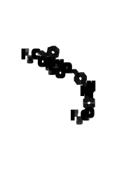 O=C(/N=C1\SCC(=O)N1c1ccccc1/C=C/C(F)(F)F)OCCc1ccc(-c2ncn(-c3ccc(OC(F)(F)F)cc3)n2)cc1